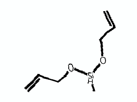 C=CCO[SiH](C)OCC=C